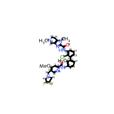 COc1cc(C(=O)Nc2cccc(-c3cccc(NC(=O)c4nc5c(n4C)CCN(C)C5)c3Cl)c2C)ncc1CN1C[C@H](F)[C@@H](F)C1